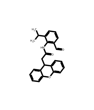 CC(C)c1cccc(C=O)c1NC(=O)CC1c2ccccc2Oc2ccccc21